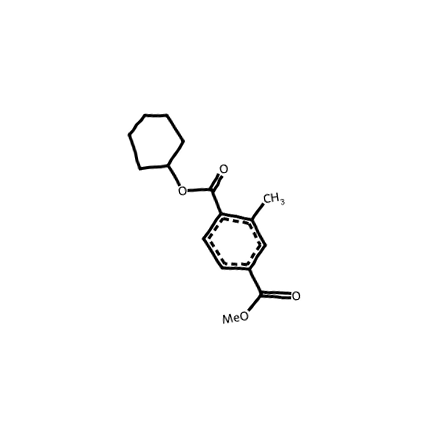 COC(=O)c1ccc(C(=O)OC2CCCCC2)c(C)c1